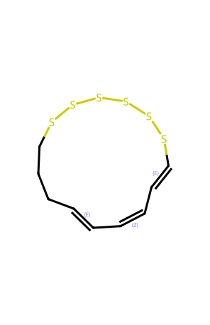 C1=C\C=C\SSSSSSCCC/C=C/1